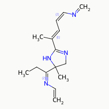 C=C/N=C(/CC)C1(C)CN=C(/C(C)=C/C=C\N=C)N1